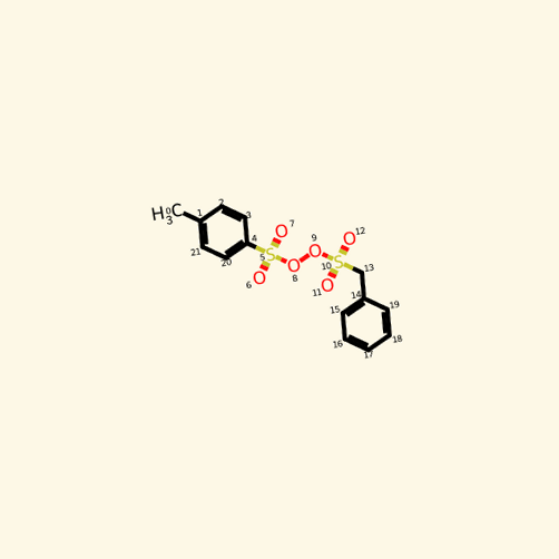 Cc1ccc(S(=O)(=O)OOS(=O)(=O)Cc2ccccc2)cc1